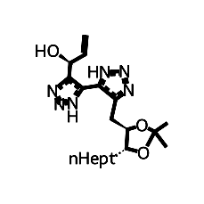 C=C[C@H](O)c1nn[nH]c1-c1[nH]nnc1C[C@H]1OC(C)(C)O[C@@H]1CCCCCCC